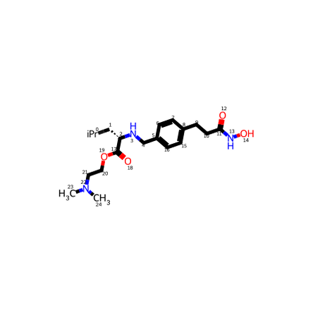 CC(C)C[C@H](NCc1ccc(CCC(=O)NO)cc1)C(=O)OCCN(C)C